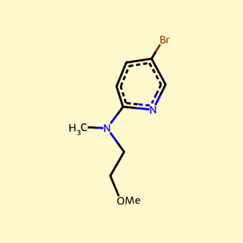 COCCN(C)c1ccc(Br)cn1